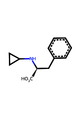 O=C(O)[C@H](Cc1ccccc1)NC1CC1